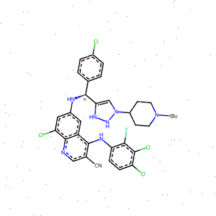 CC(C)(C)N1CCC(N2C=C([C@@H](Nc3cc(Cl)c4ncc(C#N)c(Nc5ccc(Cl)c(Cl)c5F)c4c3)c3ccc(Cl)cc3)NN2)CC1